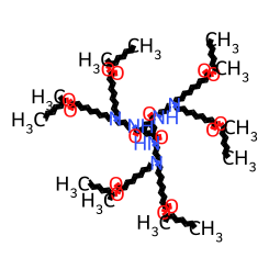 CCCCCCC(C)OC(=O)CCCCCCCCN(CCCCCCCCC(=O)OC(C)CCCCCC)CCCNC(=O)c1cc(C(=O)NCCCN(CCCCCCCCC(=O)OC(C)CCCCCC)CCCCCCCCC(=O)OC(C)CCCCCC)cc(C(=O)NCCCN(CCCCCCCCC(=O)OC(C)CCCCCC)CCCCCCCCC(=O)OC(C)CCCCCC)c1